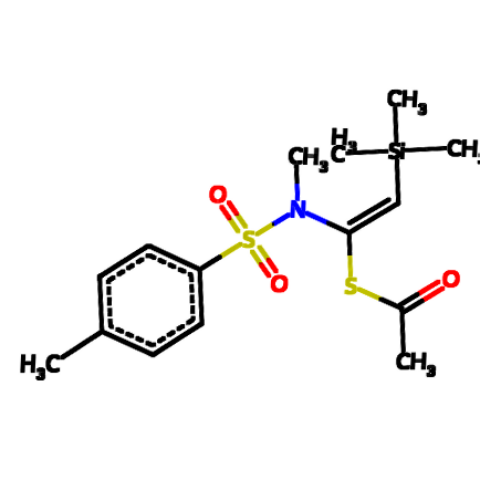 CC(=O)S/C(=C/[Si](C)(C)C)N(C)S(=O)(=O)c1ccc(C)cc1